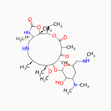 CC[C@H]1OC(=O)C(C)C(=O)[C@H](C)[C@@H](OC2OC(CNC)CC(N(C)C)C2O)[C@](C)(OC)C[C@@H](C)CN[C@H](C)[C@H]2NC(=O)O[C@@]21C